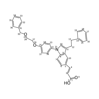 O=C(O)C=Cc1ccc2c(c1)c(CCc1ccccc1)cn2-c1ccc(OCCOCc2ccccc2)cc1